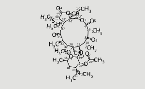 CC[C@H]1OC(=O)[C@H](C)C(=O)[C@H](C)[C@@H](O[C@@H]2O[C@H](C)C[C@H](N(C)C)[C@H]2OC(C)=O)[C@](C)(OC)C[C@@H](C)C(=O)[C@H](C)[C@H]2[C@H](SC)C(=O)O[C@@]21C